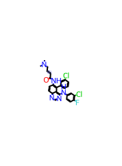 CN(C)C/C=C/C(=O)Nc1ccc2ncnc(Nc3ccc(F)c(Cl)c3)c2c1-c1cccc(Cl)c1